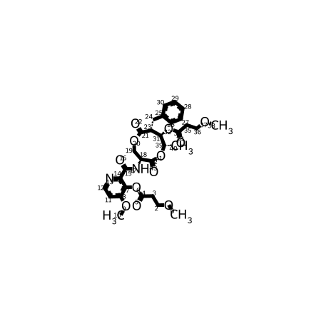 COCCC(=O)Oc1c(OC)ccnc1C(=O)N[C@H]1COC(=O)[C@H](Cc2ccccc2)[C@@H](OC(=O)CCOC)[C@H](C)OC1=O